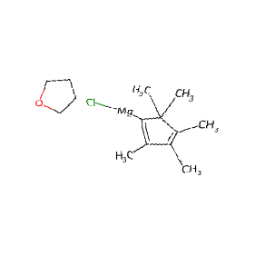 C1CCOC1.CC1=C(C)C(C)(C)[C]([Mg][Cl])=C1C